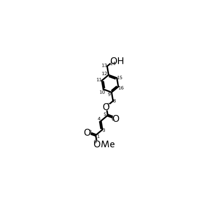 COC(=O)/C=C/C(=O)OCc1ccc(CO)cc1